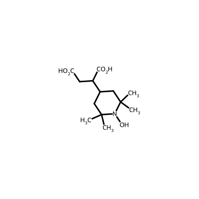 CC1(C)CC(C(CC(=O)O)C(=O)O)CC(C)(C)N1O